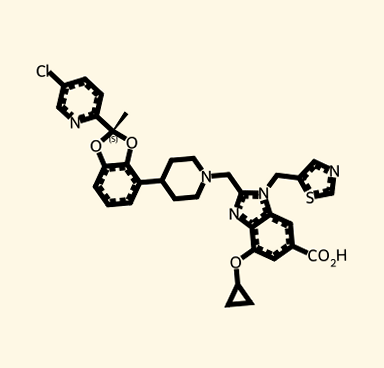 C[C@]1(c2ccc(Cl)cn2)Oc2cccc(C3CCN(Cc4nc5c(OC6CC6)cc(C(=O)O)cc5n4Cc4cncs4)CC3)c2O1